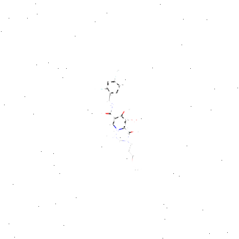 CCCOCCCN1CN(C)n2cc(C(=O)NCc3ccc(F)cc3F)c(=O)c(O)c2C1=O